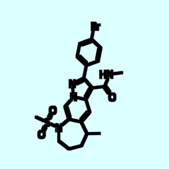 CNC(=O)c1c(-c2ccc(Br)cc2)nn2cc3c(cc12)C(C)CCCN3S(C)(=O)=O